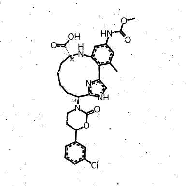 COC(=O)Nc1cc(C)c2c(c1)N[C@@H](C(=O)O)CCCC[C@H](N1CCC(c3cccc(Cl)c3)OC1=O)c1nc-2c[nH]1